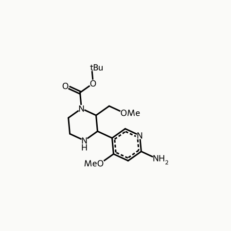 COCC1C(c2cnc(N)cc2OC)NCCN1C(=O)OC(C)(C)C